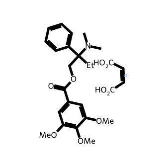 CCC(COC(=O)c1cc(OC)c(OC)c(OC)c1)(c1ccccc1)N(C)C.O=C(O)/C=C\C(=O)O